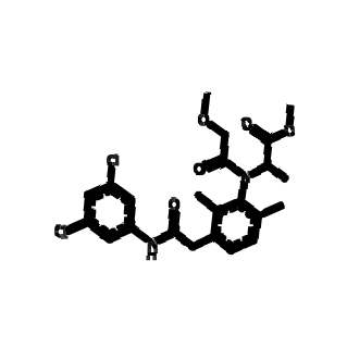 COCC(=O)N(c1c(C)ccc(CC(=O)Nc2cc(Cl)cc(Cl)c2)c1C)C(C)C(=O)OC